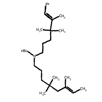 C/C=C(\C)CC(C)(C)CCCN(CCCC)CCCC(C)(C)/C(C)=C/C(C)C